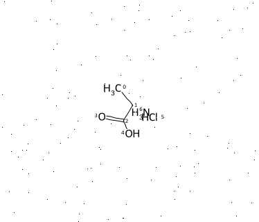 CCC(=O)O.Cl.N